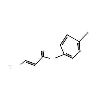 COC=CC(=O)Oc1ccc(C)cc1